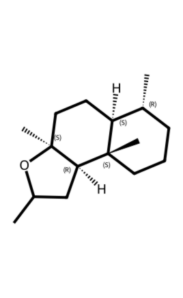 CC1C[C@@H]2[C@@]3(C)CCC[C@@H](C)[C@@H]3CC[C@]2(C)O1